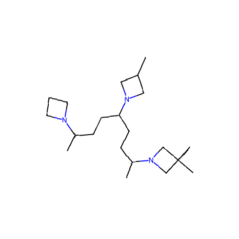 CC1CN(C(CCC(C)N2CCC2)CCC(C)N2CC(C)(C)C2)C1